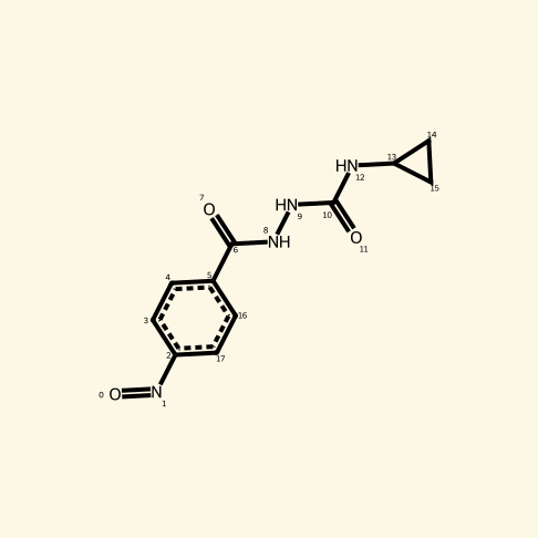 O=Nc1ccc(C(=O)NNC(=O)NC2CC2)cc1